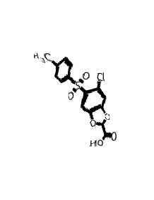 Cc1ccc(S(=O)(=O)c2cc3c(cc2Cl)OC(C(=O)O)O3)cc1